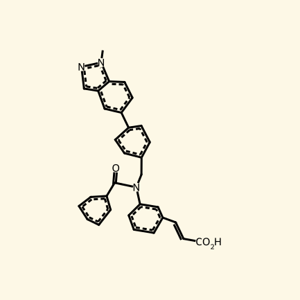 Cn1ncc2cc(-c3ccc(CN(C(=O)c4ccccc4)c4cccc(/C=C/C(=O)O)c4)cc3)ccc21